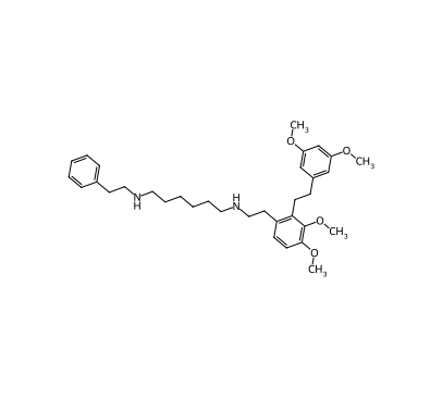 COc1cc(CCc2c(CCNCCCCCCNCCc3ccccc3)ccc(OC)c2OC)cc(OC)c1